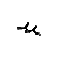 NC(=S)NC(=S)N=O